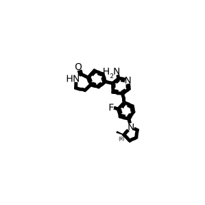 C[C@@H]1CCCN1c1ccc(-c2cnc(N)c(-c3ccc4c(c3)CCNC4=O)c2)c(F)c1